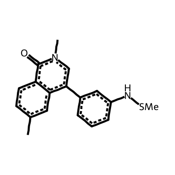 CSNc1cccc(-c2cn(C)c(=O)c3ccc(C)cc23)c1